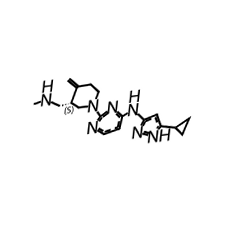 C=C1CCN(c2nccc(Nc3cc(C4CC4)[nH]n3)n2)C[C@@H]1CNC